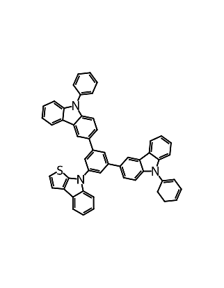 C1=CCCC(n2c3ccccc3c3cc(-c4cc(-c5ccc6c(c5)c5ccccc5n6-c5ccccc5)cc(-n5c6ccccc6c6ccsc65)c4)ccc32)=C1